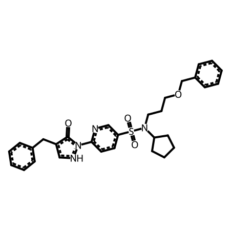 O=c1c(Cc2ccccc2)c[nH]n1-c1ccc(S(=O)(=O)N(CCCOCc2ccccc2)C2CCCC2)cn1